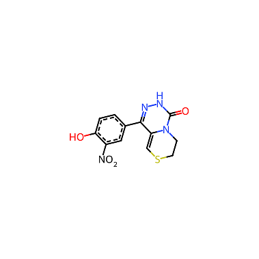 O=C1NN=C(c2ccc(O)c([N+](=O)[O-])c2)C2=CSCCN12